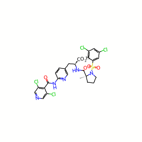 C[C@@]1(C(=O)N[C@@H](Cc2ccc(NC(=O)c3c(Cl)cncc3Cl)nc2)C(=O)O)CCCN1S(=O)(=O)c1cc(Cl)cc(Cl)c1